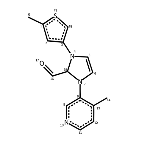 Cc1cc(N2C=CN(c3cnccc3C)C2C=O)cs1